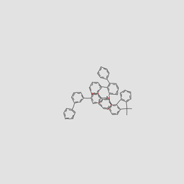 CC1(C)c2ccccc2-c2c(N(c3ccc(-c4cccc(-c5ccccc5)c4)cc3)c3cccc(-c4ccccc4)c3-c3ccccc3-c3ccccc3)cccc21